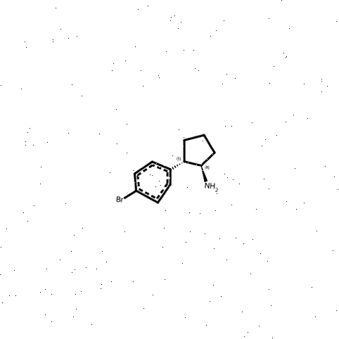 N[C@@H]1CCC[C@H]1c1ccc(Br)cc1